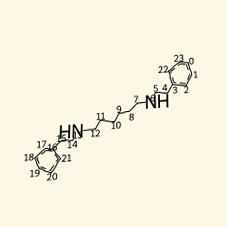 c1ccc(CCNCCCCCCNCCc2ccccc2)cc1